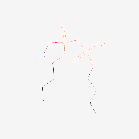 CCCCOP(=O)(O)OP(=O)(ON)OCCCC